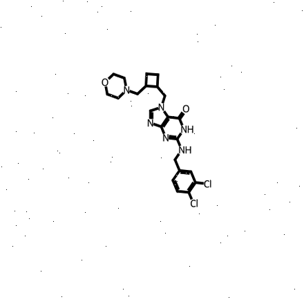 O=c1[nH]c(NCc2ccc(Cl)c(Cl)c2)nc2ncn(CC3CCC3CN3CCOCC3)c12